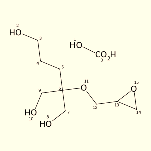 O=C(O)O.OCCCC(CO)(CO)OCC1CO1